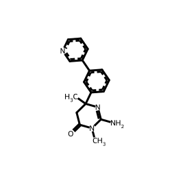 CN1C(=O)CC(C)(c2cccc(-c3cccnc3)c2)N=C1N